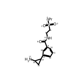 CCCS(=O)(=O)CCNC(=O)c1cccc(C2CC2N)c1